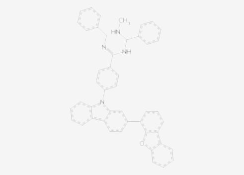 CNC(N/C(=N\Cc1ccccc1)c1ccc(-n2c3ccccc3c3ccc(-c4cccc5c4oc4ccccc45)cc32)cc1)c1ccccc1